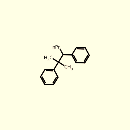 [CH2]CCC(c1ccccc1)C(C)(C)c1ccccc1